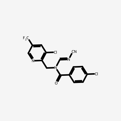 N#CN=CN(Cc1ncc(C(F)(F)F)cc1Cl)C(=O)c1ccc(Cl)cc1